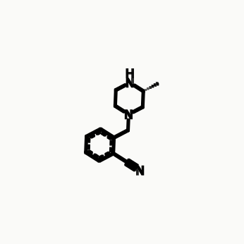 C[C@@H]1CN(Cc2ccccc2C#N)CCN1